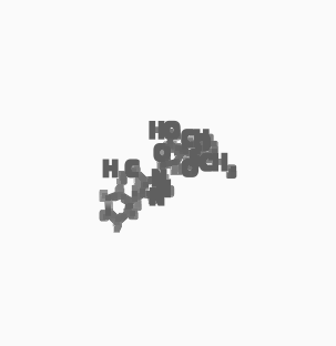 Cc1c(-c2ccccc2)nnn1CC[C@](C)(C(=O)O)S(C)(=O)=O